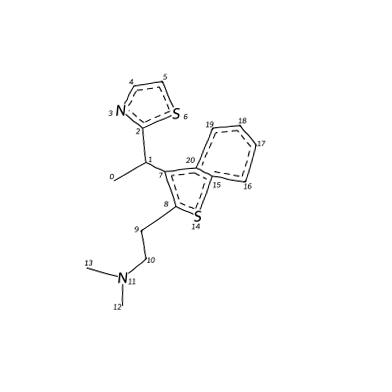 CC(c1nccs1)c1c(CCN(C)C)sc2ccccc12